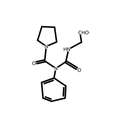 O=[C]CNC(=O)N(C(=O)N1CCCC1)c1ccccc1